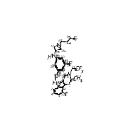 C[C@H]1Cc2c([nH]c3cccc(F)c23)[C@H](c2c(F)cc(NC3CN(CCCF)C3)cc2F)N1CC(F)(F)F